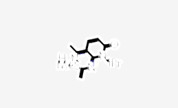 C=C(/N=C1\C(=C(\C)N)C=CC(=O)N1C(C)C)SC